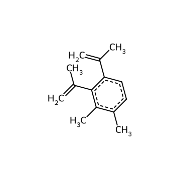 C=C(C)c1ccc(C)c(C)c1C(=C)C